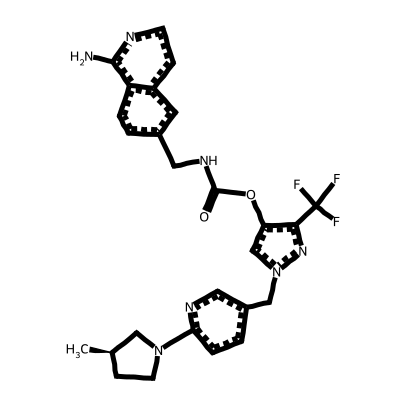 C[C@@H]1CCN(c2ccc(Cn3cc(OC(=O)NCc4ccc5c(N)nccc5c4)c(C(F)(F)F)n3)cn2)C1